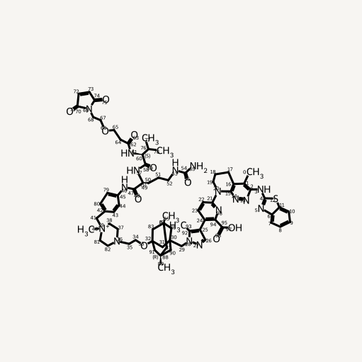 Cc1c(Nc2nc3ccccc3s2)nnc2c1CCCN2c1ccc(-c2cnn(CC34CC5(OCCN6CC[N+](C)(Cc7ccc(NC(=O)[C@H](CCCNC(N)=O)NC(=O)[C@@H](NC(=O)CCOCCN8C(=O)C=CC8=O)C(C)C)cc7)CC6)C[C@](C)(C3)C[C@](C)(C4)C5)c2C)c(C(=O)O)n1